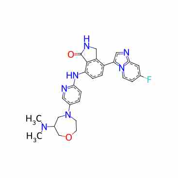 CN(C)C1COCCN(c2ccc(Nc3ccc(-c4cnc5cc(F)ccn45)c4c3C(=O)NC4)nc2)C1